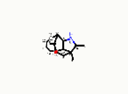 CC1CCC2(C)C(C)NC3C1CCCCCC32